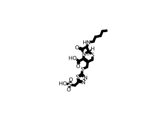 CCCCCNC1C(=O)N2C(C(=O)O)=C(CSc3nnc(CS(=O)(=O)O)s3)CS[C@@H]12